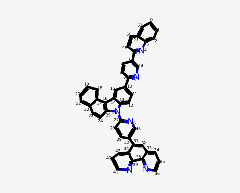 c1ccc2nc(-c3ccc(-c4ccc5c(c4)c4c6ccccc6ccc4n5-c4ccc(-c5cc6cccnc6c6ncccc56)cn4)nc3)ccc2c1